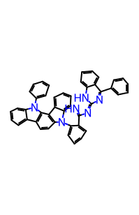 N=C(/N=c1/nc(-c2ccccc2)c2ccccc2[nH]1)c1ccccc1-n1c2ccccc2c2c1ccc1c3ccccc3n(-c3ccccc3)c12